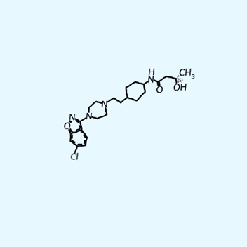 C[C@H](O)CC(=O)NC1CCC(CCN2CCN(c3noc4cc(Cl)ccc34)CC2)CC1